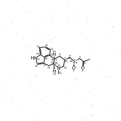 CC(=O)C[S@@+]([O-])C[C@@H]1C[C@@H]2c3cccc4[nH]cc(c34)C[C@H]2N(C)C1